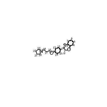 C[C@H]1Oc2ccccc2S[C@H]1c1ccc(OCCCN2CCCC2)cc1